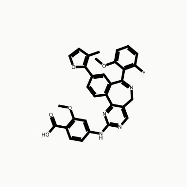 COc1cc(Nc2ncc3c(n2)-c2ccc(-c4occc4C)cc2C(c2c(F)cccc2OC)=NC3)ccc1C(=O)O